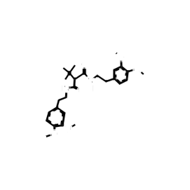 COc1ccc(CCNC(=O)C(C(=O)NCCc2ccc(OC)c(OC)c2)C(C)(C)C)cc1OC